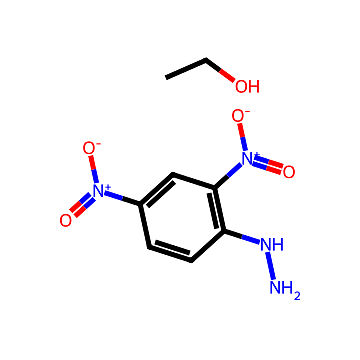 CCO.NNc1ccc([N+](=O)[O-])cc1[N+](=O)[O-]